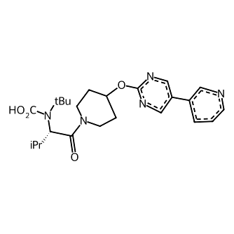 CC(C)[C@@H](C(=O)N1CCC(Oc2ncc(-c3cccnc3)cn2)CC1)N(C(=O)O)C(C)(C)C